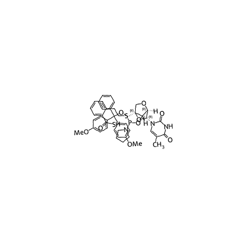 COc1ccc(C(OC[C@@]23CO[C@@H]([C@H](n4cc(C)c(=O)[nH]c4=O)O2)[C@@H]3OP(SCCc2ccccc2C(=O)S)N2CCCC2)(c2ccccc2)c2ccc(OC)cc2)cc1